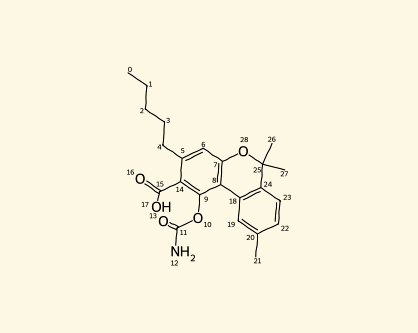 CCCCCc1cc2c(c(OC(N)=O)c1C(=O)O)-c1cc(C)ccc1C(C)(C)O2